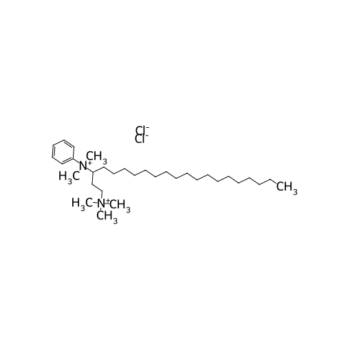 CCCCCCCCCCCCCCCCCCC(CC[N+](C)(C)C)[N+](C)(C)c1ccccc1.[Cl-].[Cl-]